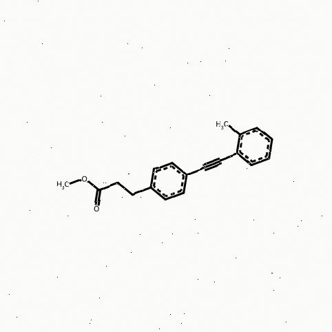 COC(=O)CCc1ccc(C#Cc2ccccc2C)cc1